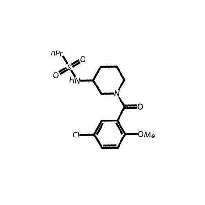 CCCS(=O)(=O)NC1CCCN(C(=O)c2cc(Cl)ccc2OC)C1